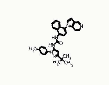 Cc1ccc(-n2nc(C(C)(C)C)cc2NC(=O)Nc2ccc(-n3ccc4cnccc43)c3ccccc23)cc1